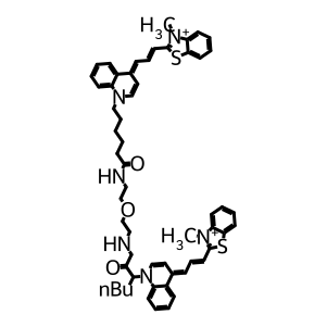 CCCCC(C(=O)CNCCOCCNC(=O)CCCCCN1C=CC(=CC=Cc2sc3ccccc3[n+]2C)c2ccccc21)N1C=CC(=CC=Cc2sc3ccccc3[n+]2C)c2ccccc21